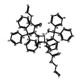 C=CCOC(=O)O[C@H](C)[C@H]1C(=O)N(C(C(=O)OCC=C)=P(c2ccccc2)(c2ccccc2)c2ccccc2)[C@@H]1SC(c1ccccc1)(c1ccccc1)c1ccccc1